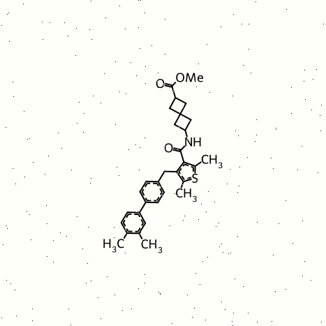 COC(=O)C1CC2(CC(NC(=O)c3c(C)sc(C)c3Cc3ccc(-c4ccc(C)c(C)c4)cc3)C2)C1